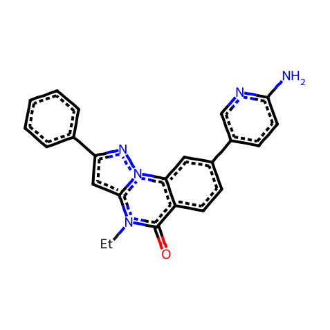 CCn1c(=O)c2ccc(-c3ccc(N)nc3)cc2n2nc(-c3ccccc3)cc12